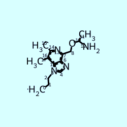 [CH2]CCn1cnc2c(COC(C)N)nc(C)c(C)c21